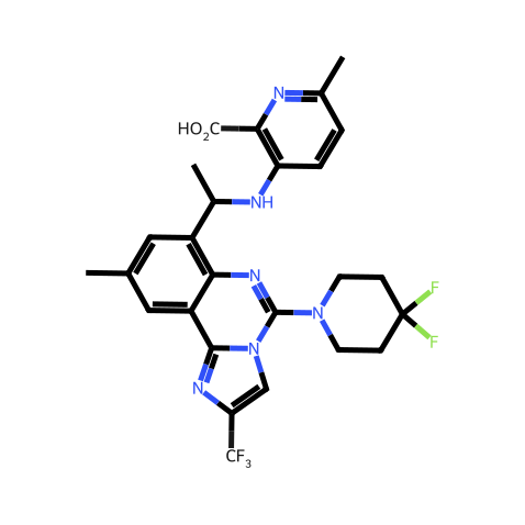 Cc1cc(C(C)Nc2ccc(C)nc2C(=O)O)c2nc(N3CCC(F)(F)CC3)n3cc(C(F)(F)F)nc3c2c1